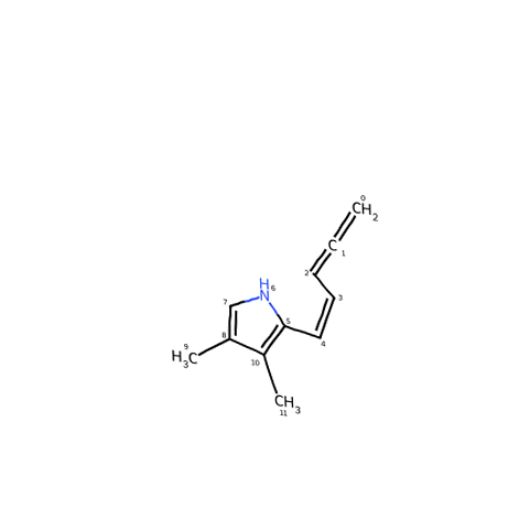 C=C=C/C=C\c1[nH]cc(C)c1C